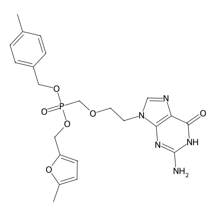 Cc1ccc(COP(=O)(COCCn2cnc3c(=O)[nH]c(N)nc32)OCc2ccc(C)o2)cc1